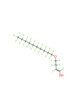 OC(F)=C(F)C(F)(F)C(F)(F)OC(F)(F)C(F)(F)C(F)(F)C(F)(F)C(F)(F)C(F)(F)C(F)(F)C(F)(F)C(F)(F)C(F)(F)F